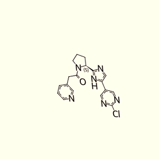 O=C(Cc1cccnc1)N1CCC[C@H]1c1ncc(-c2cnc(Cl)nc2)[nH]1